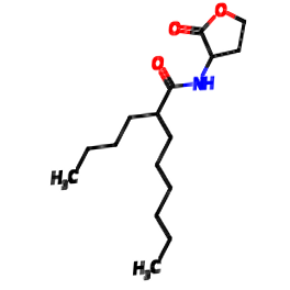 CCCCCCC(CCCC)C(=O)NC1CCOC1=O